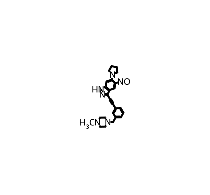 CN1CCN(Cc2cccc(C#Cc3n[nH]c4cc(N5CCCC5)c(N=O)cc34)c2)CC1